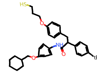 CC(C)(C)c1ccc(C(Cc2ccc(OCCCS)cc2)C(=O)Nc2ccc(OCC3CCCCC3)cc2)cc1